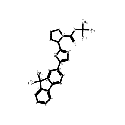 CC(C)(C)OC(=O)N1CCCC1c1ncc(-c2ccc3c(c2)C(C)(C)c2ccccc2-3)[nH]1